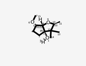 [3H]O[C@@]12CC[C@H](OC)[C@@H]1O[C@@H](C)C2(C)C